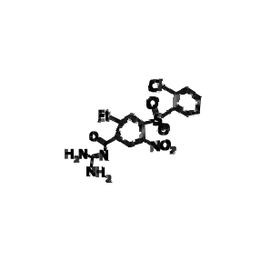 CCc1cc(S(=O)(=O)c2ccccc2Cl)c([N+](=O)[O-])cc1C(=O)N=C(N)N